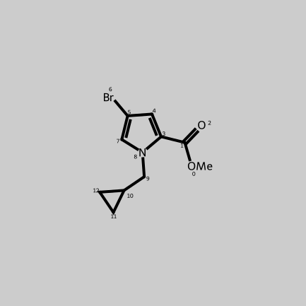 COC(=O)c1cc(Br)cn1CC1CC1